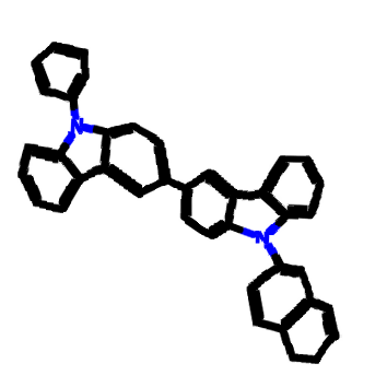 C1=Cc2cc(-n3c4ccccc4c4cc(-c5ccc6c(c5)c5ccccc5n6-c5ccccc5)ccc43)ccc2CC1